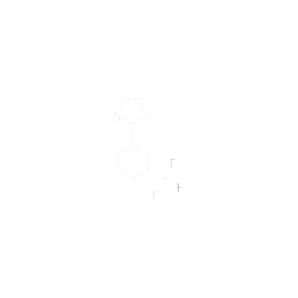 Cc1c[c]sc1-c1cccc(C(F)(F)F)c1